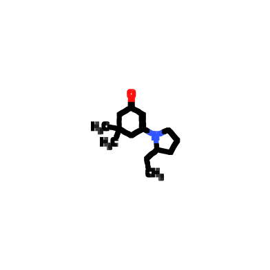 CCC1CCCN1C1=CC(=O)CC(C)(C)C1